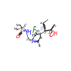 C=C(O)/C(=C\C)c1ccnc(CN[S@@+]([O-])C(C)(C)C)c1F